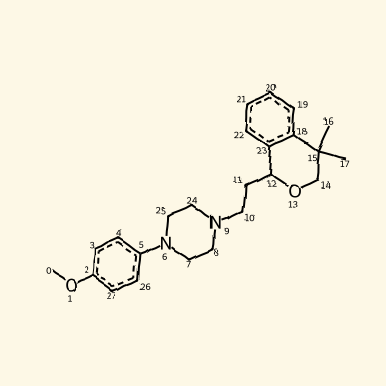 COc1ccc(N2CCN(CCC3OCC(C)(C)c4ccccc43)CC2)cc1